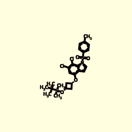 Cc1ccc(S(=O)(=O)n2ccc3c(O[C@H]4C[C@@H](O[Si](C)(C)C(C)(C)C)C4)cc(Cl)c(Cl)c32)cc1